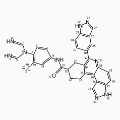 N=CN(C=N)c1ccc(NC(=O)C2CCc3c(c(-c4ccc5[nH]ncc5c4)nc4ccc5[nH]ncc5c34)C2)cc1C(F)(F)F